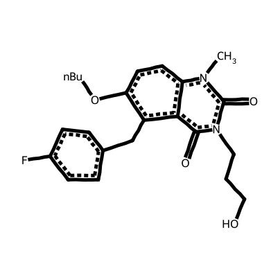 CCCCOc1ccc2c(c1Cc1ccc(F)cc1)c(=O)n(CCCO)c(=O)n2C